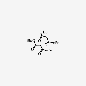 CCCC(=O)CC(=O)OCC(C)C.CCCC(=O)CC(=O)OCC(C)C